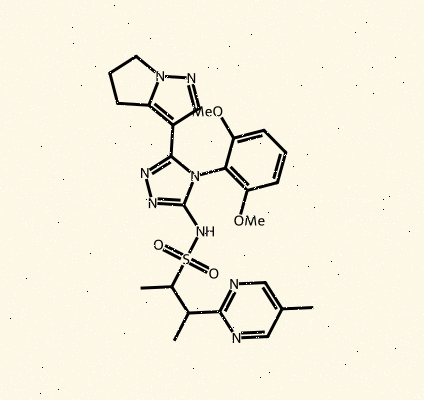 COc1cccc(OC)c1-n1c(NS(=O)(=O)C(C)C(C)c2ncc(C)cn2)nnc1-c1cnn2c1CCC2